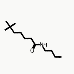 CCCCNC(=O)CCCCC(C)(C)C